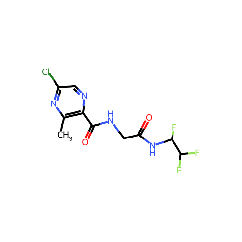 Cc1nc(Cl)cnc1C(=O)NCC(=O)NC(F)C(F)F